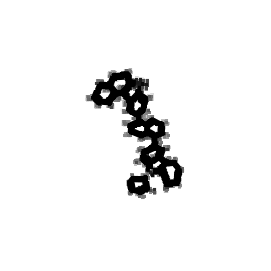 c1ccc(-n2c3ccccc3c3cc(-c4cccc5c(-c6ccc7[nH]c8ccc9ccccc9c8c7c6)cccc45)ccc32)cc1